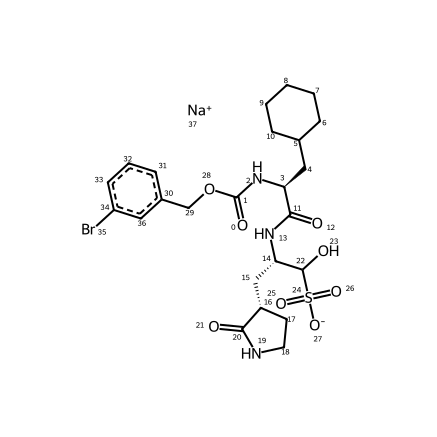 O=C(N[C@@H](CC1CCCCC1)C(=O)N[C@@H](C[C@@H]1CCNC1=O)C(O)S(=O)(=O)[O-])OCc1cccc(Br)c1.[Na+]